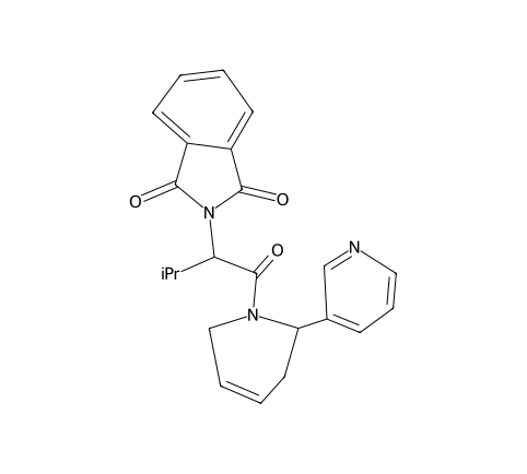 CC(C)C(C(=O)N1CC=CCC1c1cccnc1)N1C(=O)c2ccccc2C1=O